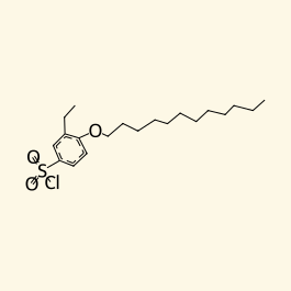 CCCCCCCCCCCCOc1ccc(S(=O)(=O)Cl)cc1CC